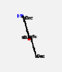 CCCCCCCCCCCCCCCCCCCCCCCCCCCCC(CCCC)C(=O)C(CCCC)CCCCCCCCCCCCCCCCCCCCCCCCCCCC.c1cc[nH]c1